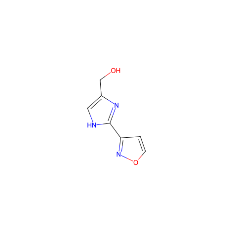 OCc1c[nH]c(-c2ccon2)n1